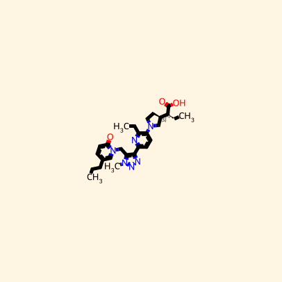 CCCc1ccc(=O)n(Cc2c(-c3ccc(N4CC[C@@H]([C@@H](CC)C(=O)O)C4)c(CC)n3)nnn2C)c1